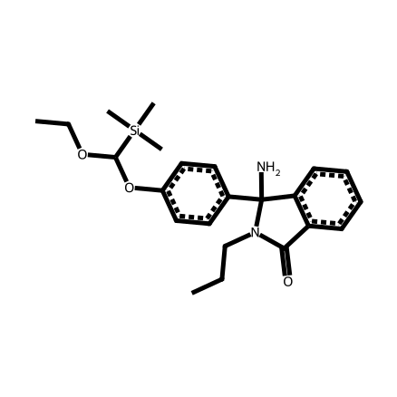 CCCN1C(=O)c2ccccc2C1(N)c1ccc(OC(OCC)[Si](C)(C)C)cc1